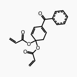 C=CC(=O)OC1(OC(=O)C=C)C=CC(C(=O)c2ccccc2)=CC1